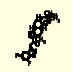 COC[C@]12CC[C@@](C)(O)C[C@@H]1CC[C@H]1[C@@H]3CC[C@H](C(=O)Cn4nnc5c(F)cc(F)cc54)C3(C)CC[C@@H]12